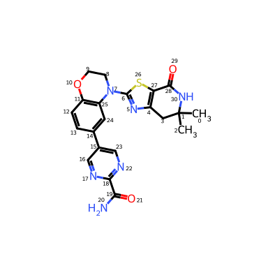 CC1(C)Cc2nc(N3CCOc4ccc(-c5cnc(C(N)=O)nc5)cc43)sc2C(=O)N1